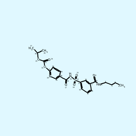 CCCCNC(=O)c1cccc(S(=O)(=O)NC(=O)c2ccc(OC(=O)OC(C)C)nc2)c1